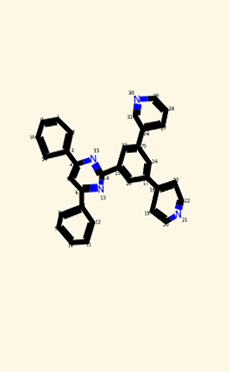 c1ccc(-c2cc(-c3ccccc3)nc(-c3cc(-c4ccncc4)cc(-c4cccnc4)c3)n2)cc1